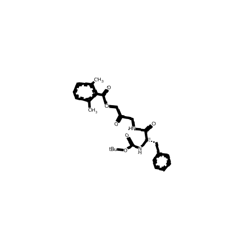 Cc1cccc(C)c1C(=O)OCC(=O)CNC(=O)[C@H](Cc1ccccc1)NC(=O)OC(C)(C)C